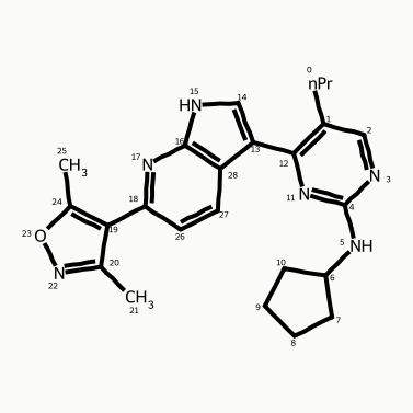 CCCc1cnc(NC2CCCC2)nc1-c1c[nH]c2nc(-c3c(C)noc3C)ccc12